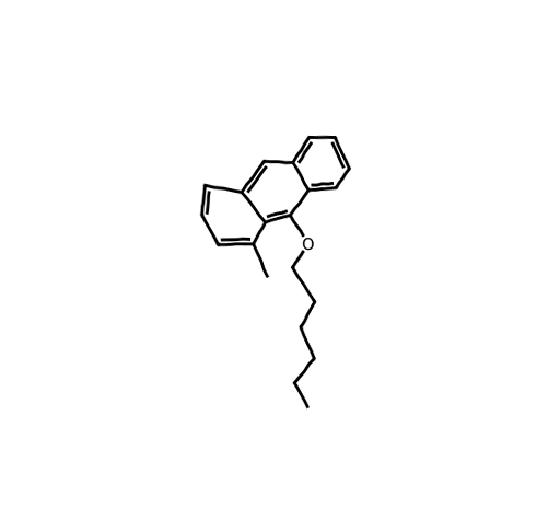 CCCCCCOc1c2ccccc2cc2cccc(C)c12